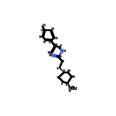 CCCC[C@H]1CC[C@H](CCc2ncc(-c3ccc(C)cc3)cn2)CC1